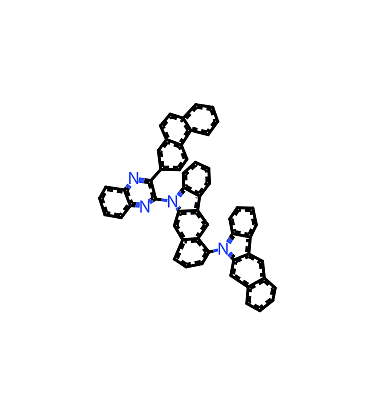 c1ccc2cc3c(cc2c1)c1ccccc1n3-c1cccc2cc3c(cc12)c1ccccc1n3-c1nc2ccccc2nc1-c1ccc2c(ccc3ccccc32)c1